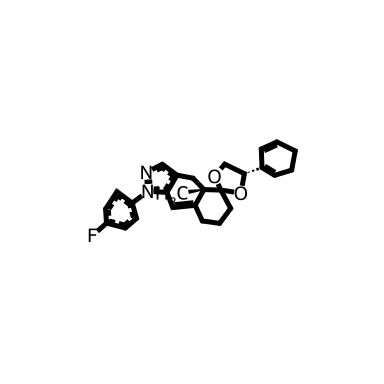 C[C@]12Cc3cnn(-c4ccc(F)cc4)c3C=C1CCCC21OC[C@H](C2=CCCC=C2)O1